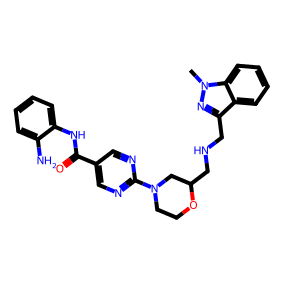 Cn1nc(CNCC2CN(c3ncc(C(=O)Nc4ccccc4N)cn3)CCO2)c2ccccc21